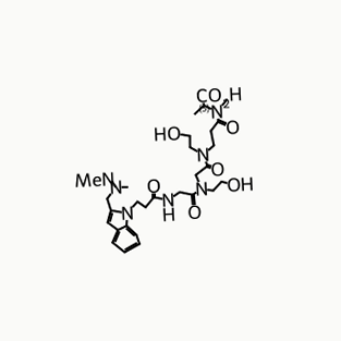 CNN(C)Cc1cc2ccccc2n1CCC(=O)NCC(=O)N(CCO)CC(=O)N(CCO)CCC(=O)N(C)[C@@H](C)C(=O)O